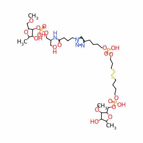 COCC1OC(C)C(O)C1OP(=O)(O)OCC(CO)NC(=O)CCCn1cc(CCCCOP(=O)(O)OCCCSSCCCCOP(=O)(O)OCC2OC(C)C(O)C2OC)nn1